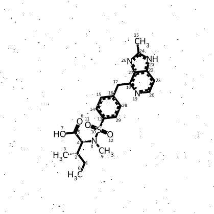 CC[C@H](C)[C@@H](C(=O)O)N(C)S(=O)(=O)c1ccc(Cc2nccc3[nH]c(C)nc23)cc1